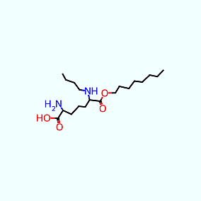 CCCCCCCCOC(=O)C(CCC[C@H](N)C(=O)O)NCCCC